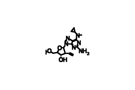 C#CC1C(n2cnc3c(N(C)C4CC4)nc(N)nc32)OC(COI)[C@H]1O